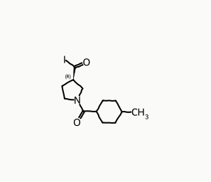 CC1CCC(C(=O)N2CC[C@@H](C(=O)I)C2)CC1